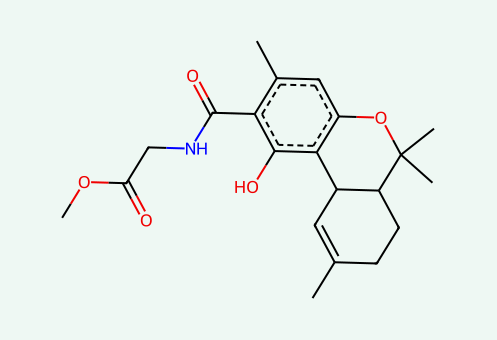 COC(=O)CNC(=O)c1c(C)cc2c(c1O)C1C=C(C)CCC1C(C)(C)O2